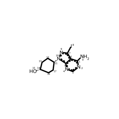 Nc1ncnc2c1c(I)nn2[C@H]1CC[C@@H](O)CC1